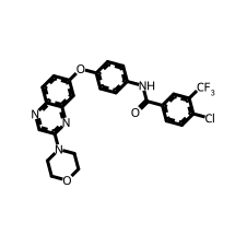 O=C(Nc1ccc(Oc2ccc3ncc(N4CCOCC4)nc3c2)cc1)c1ccc(Cl)c(C(F)(F)F)c1